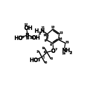 CC(C)(O)C(C)(C)Oc1cc(N)ccc1CN.OB(O)O